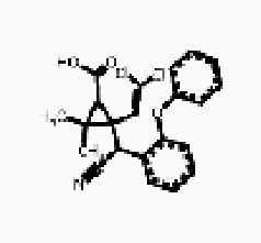 CC1(C)C(C(=O)O)C1(C=C(Cl)Cl)C(C#N)c1ccccc1Oc1ccccc1